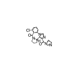 O=C1c2c(Cl)cccc2-n2cnc(C(=O)n3ccnc3)c2[C@@H]2CCCN12